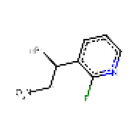 C[CH]CC([CH][N+](=O)[O-])c1cccnc1F